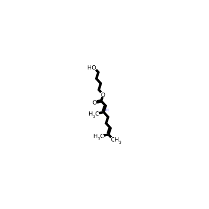 CC(C)=CCC/C(C)=C/C(=O)OCCCCO